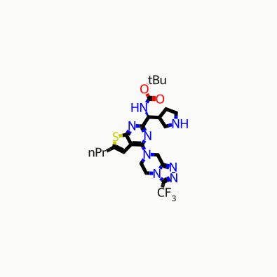 CCCc1cc2c(N3CCn4c(nnc4C(F)(F)F)C3)nc([C@@H](NC(=O)OC(C)(C)C)C3CCNC3)nc2s1